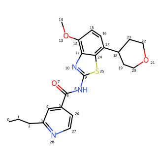 CCCc1cc(C(=O)Nc2nc3c(OC)ccc(C4CCOCC4)c3s2)ccn1